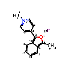 Cc1oc(-c2cc[n+](C)cc2)c2ccccc12.[I-]